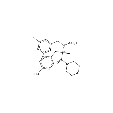 Cc1cc(CN(C(=O)O)[C@@](C)(Cc2ccc(O)cc2)C(=O)N2CCOCC2)cc(C)n1